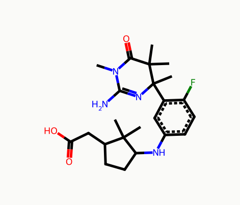 CN1C(=O)C(C)(C)C(C)(c2cc(NC3CCC(CC(=O)O)C3(C)C)ccc2F)N=C1N